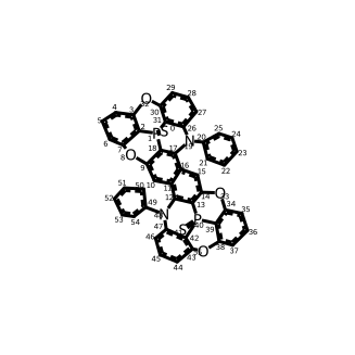 S=P12c3c4cccc3Oc3cc5c6c7c(cc5c(c31)N(c1ccccc1)c1cccc(c12)O4)Oc1cccc2c1P7(=S)c1c(cccc1N6c1ccccc1)O2